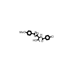 COc1ccc(-c2noc(C(NC(=O)c3ccc(Cl)cc3)[C@@H](C)O)n2)cc1